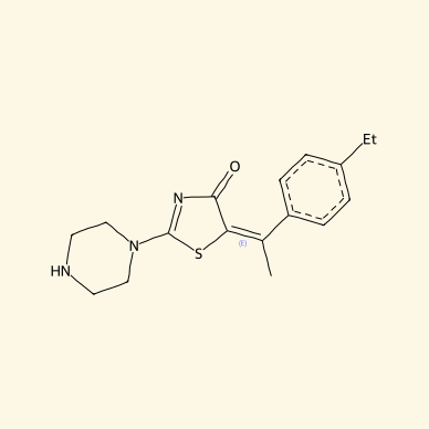 CCc1ccc(/C(C)=C2/SC(N3CCNCC3)=NC2=O)cc1